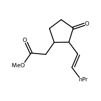 CCCC=CC1C(=O)CCC1CC(=O)OC